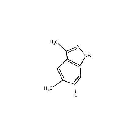 Cc1cc2c(C)n[nH]c2cc1Cl